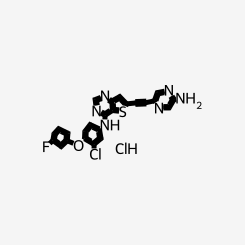 Cl.Nc1cnc(C#Cc2cc3ncnc(Nc4ccc(Oc5cccc(F)c5)c(Cl)c4)c3s2)cn1